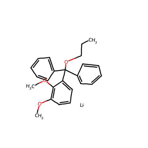 CCCOC(c1ccccc1)(c1ccccc1)c1cccc(OC)c1OC.[Li]